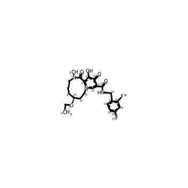 CCO[C@H]1CCCN(C)C(=O)c2c(O)c(=O)c(C(=O)NCc3ccc(F)cc3F)cn2CC1